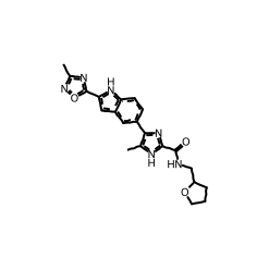 Cc1noc(-c2cc3cc(-c4nc(C(=O)NCC5CCCO5)[nH]c4C)ccc3[nH]2)n1